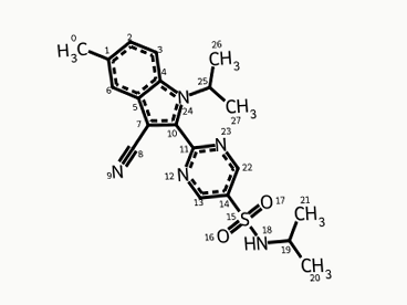 Cc1ccc2c(c1)c(C#N)c(-c1ncc(S(=O)(=O)NC(C)C)cn1)n2C(C)C